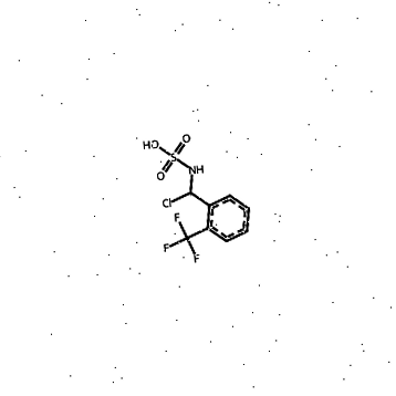 O=S(=O)(O)N[C](Cl)c1ccccc1C(F)(F)F